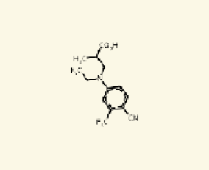 CC(CN(CC(F)(F)F)c1ccc(C#N)c(C(F)(F)F)c1)C(=O)O